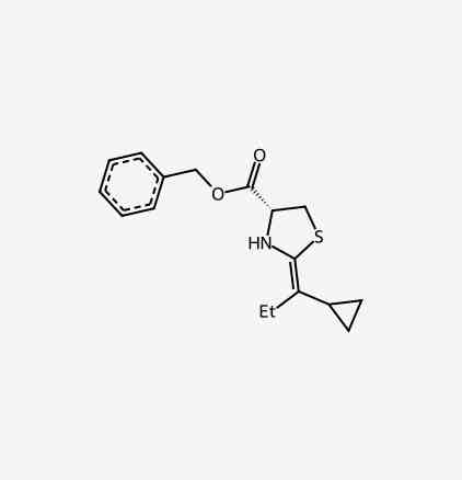 CC/C(=C1\N[C@H](C(=O)OCc2ccccc2)CS1)C1CC1